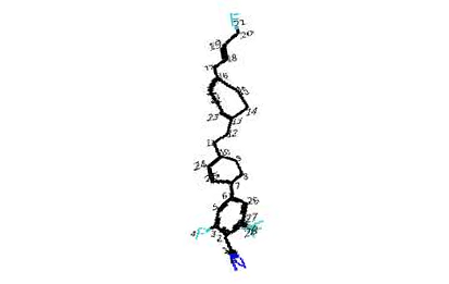 N#Cc1c(F)cc(C2CCC(CCC3CCC(C/C=C/CF)CC3)CC2)cc1F